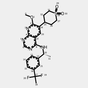 COc1nc2ncnc(N[C@H](C)c3cccc(C(C)(F)F)c3)c2cc1C1CCS(=O)(=O)CC1